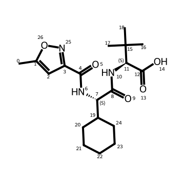 Cc1cc(C(=O)N[C@H](C(=O)N[C@H](C(=O)O)C(C)(C)C)C2CCCCC2)no1